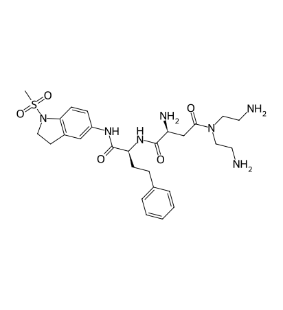 CS(=O)(=O)N1CCc2cc(NC(=O)[C@H](CCc3ccccc3)NC(=O)[C@@H](N)CC(=O)N(CCN)CCN)ccc21